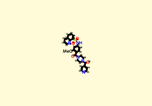 COc1cc(NS(=O)(=O)c2cccc3cccnc23)ccc1C(=O)N1CCN(C(=O)c2ccncc2)CC1